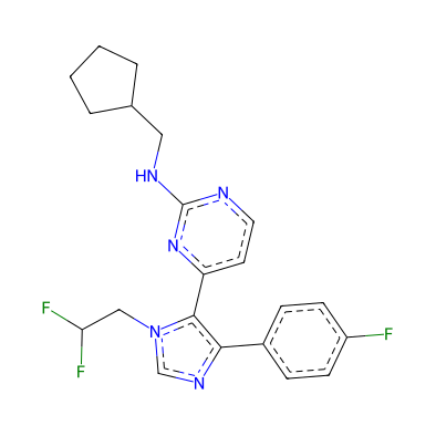 Fc1ccc(-c2ncn(CC(F)F)c2-c2ccnc(NCC3CCCC3)n2)cc1